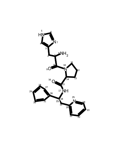 NC(Cc1c[nH]cn1)C(=O)N1CCCC1C(=O)N[C@@H](Cc1ccccn1)c1ccccc1